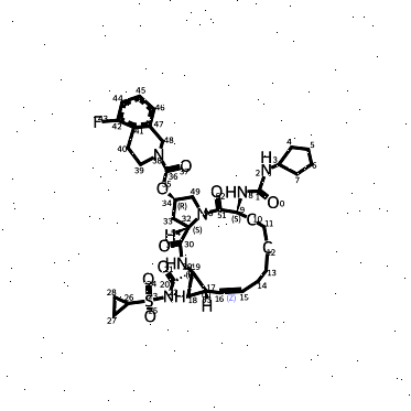 O=C(NC1CCCC1)N[C@H]1CCCCC/C=C\[C@@H]2C[C@@]2(C(=O)NS(=O)(=O)C2CC2)NC(=O)[C@@H]2C[C@@H](OC(=O)N3CCc4c(F)cccc4C3)CN2C1=O